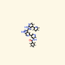 O=C(Nc1cncc(-c2cc3c(-c4nc5c(-c6ccccn6)ccnc5[nH]4)n[nH]c3cn2)c1)c1ccccc1